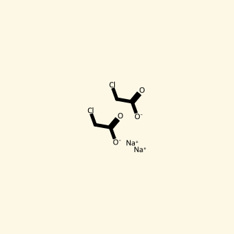 O=C([O-])CCl.O=C([O-])CCl.[Na+].[Na+]